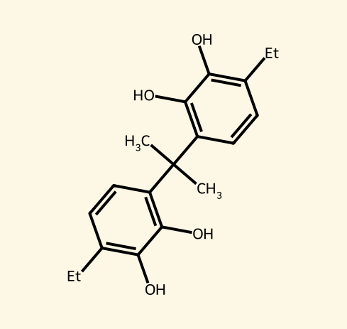 CCc1ccc(C(C)(C)c2ccc(CC)c(O)c2O)c(O)c1O